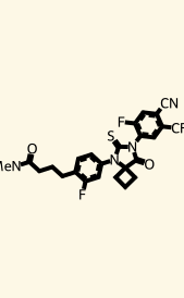 CNC(=O)CCCc1ccc(N2C(=S)N(c3cc(C(F)(F)F)c(C#N)cc3F)C(=O)C23CCC3)cc1F